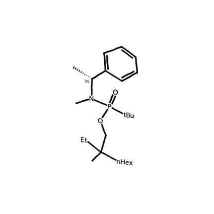 CCCCCCC(C)(CC)COP(=O)(N(C)[C@H](C)c1ccccc1)C(C)(C)C